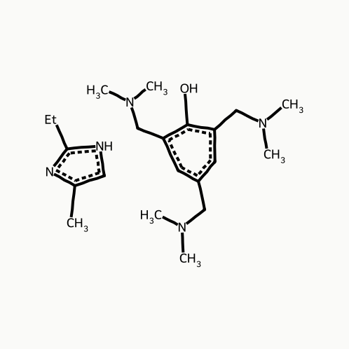 CCc1nc(C)c[nH]1.CN(C)Cc1cc(CN(C)C)c(O)c(CN(C)C)c1